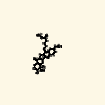 CCC1(O)C(=O)OCc2c1cc1n(c2=O)Cc2c-1nc1ccc(C=N)cc1c2OCCCC(=O)OC(C)(C)C